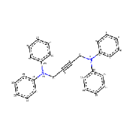 C(#CCN(c1ccccc1)c1ccccc1)CN(c1ccccc1)c1ccccc1